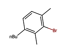 CCCCc1ccc(C)c(Br)c1C